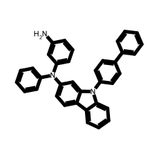 Nc1cccc(N(c2ccccc2)c2ccc3c4ccccc4n(-c4ccc(-c5ccccc5)cc4)c3c2)c1